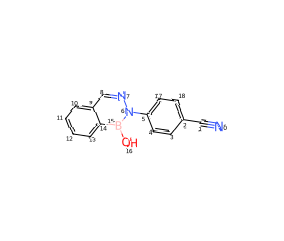 N#Cc1ccc(N2N=Cc3ccccc3B2O)cc1